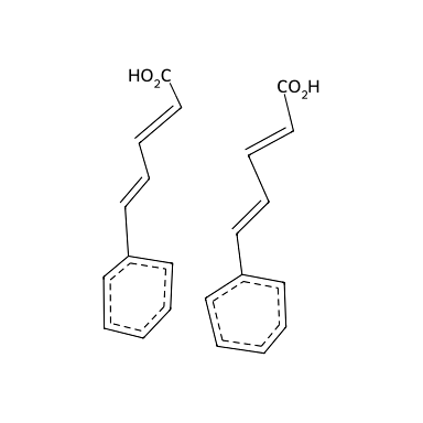 O=C(O)C=CC=Cc1ccccc1.O=C(O)C=CC=Cc1ccccc1